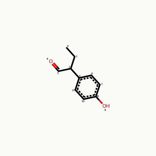 CCC([C]=O)c1ccc(O)cc1